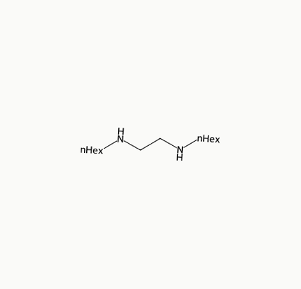 CCCCCCNCCNCCCCCC